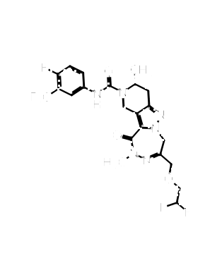 C[C@@H]1Cc2nn3c(c2CN1C(=O)Nc1ccc(F)c(C(F)(F)F)c1)C(=O)N(C)N=C(COCC(F)F)C3